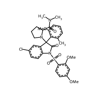 COc1ccc(S(=O)(=O)N2C(=O)C(c3c(C)cccc3OC)(N3CCCC3C(=O)N(C)C)c3cc(Cl)ccc32)c(OC)c1